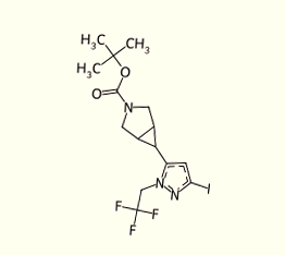 CC(C)(C)OC(=O)N1CC2C(C1)C2c1cc(I)nn1CC(F)(F)F